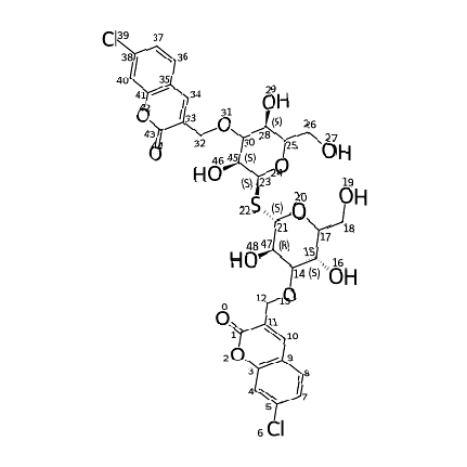 O=c1oc2cc(Cl)ccc2cc1COC1[C@@H](O)C(CO)O[C@@H](S[C@@H]2OC(CO)[C@H](O)C(OCc3cc4ccc(Cl)cc4oc3=O)[C@@H]2O)[C@@H]1O